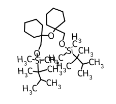 CC(C)C(C)(C)[Si](C)(C)OCC1(OC2(CO[Si](C)(C)C(C)(C)C(C)C)CCCCC2)CCCCC1